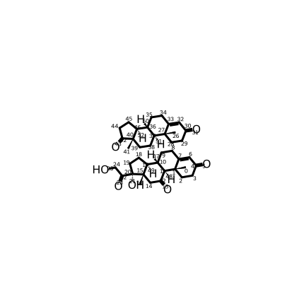 C[C@]12CCC(=O)C=C1CC[C@@H]1[C@@H]2C(=O)C[C@@]2(C)[C@H]1CC[C@]2(O)C(=O)CO.C[C@]12CCC(=O)C=C1CC[C@@H]1[C@@H]2CC[C@]2(C)C(=O)CC[C@@H]12